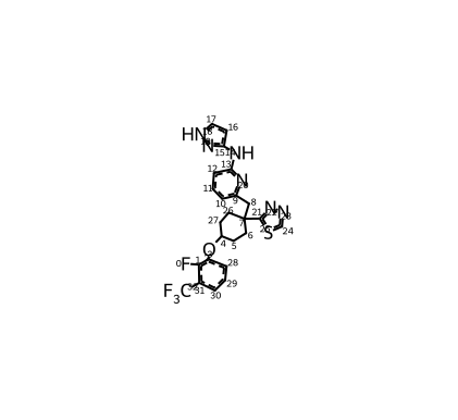 Fc1c(OC2CCC(Cc3cccc(Nc4cc[nH]n4)n3)(c3nncs3)CC2)cccc1C(F)(F)F